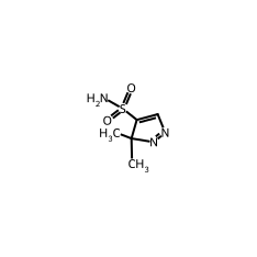 CC1(C)N=NC=C1S(N)(=O)=O